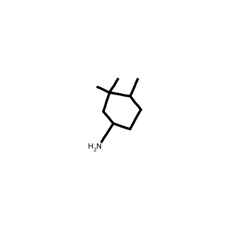 CC1CCC(N)CC1(C)C